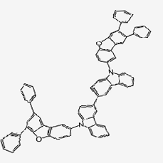 c1ccc(-c2cc(-c3ccccc3)c3oc4ccc(-n5c6ccccc6c6cc(-c7ccc8c(c7)c7ccccc7n8-c7ccc8oc9cc(-c%10ccccc%10)c(-c%10ccccc%10)cc9c8c7)ccc65)cc4c3c2)cc1